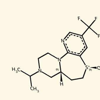 CC(C)N1CCN2c3ncc(C(F)(F)F)cc3[S@@+]([O-])CC[C@@H]2C1